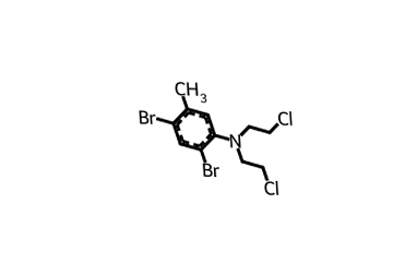 Cc1cc(N(CCCl)CCCl)c(Br)cc1Br